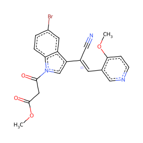 COC(=O)CC(=O)n1cc(/C(C#N)=C/c2cnccc2OC)c2cc(Br)ccc21